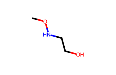 CONCCO